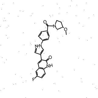 COC1CCN(C(=O)c2ccc(-n3cc(-c4cc5cc(F)ccc5[nH]c4=O)cn3)cc2)C1